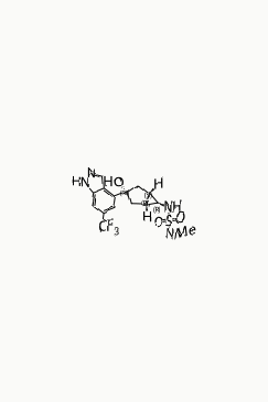 CNS(=O)(=O)N[C@H]1[C@@H]2C[C@@](O)(c3cc(C(F)(F)F)cc4[nH]ncc34)C[C@@H]21